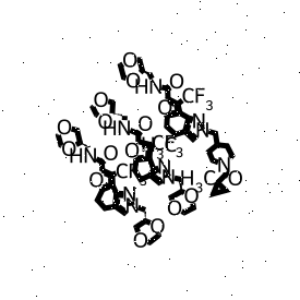 C[C@H]1Cc2oc(C(=O)NC[C@@H]3COCCO3)c(C(F)(F)F)c2-c2nn(CC3CCN(C(=O)C4(C)CC4)CC3)cc21.O=C(NC[C@H]1COCCO1)c1oc2c(c1C(F)(F)F)-c1nn(C[C@@H]3COCCO3)cc1CC2.O=C(NC[C@H]1COCCO1)c1oc2c(c1C(F)(F)F)-c1nn(C[C@H]3COCCO3)cc1CC2